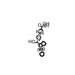 O=C(NO)c1cnc(N2CCN(C(CO)c3cn(S(=O)(=O)c4ccccc4)c4ccccc34)CC2)nc1